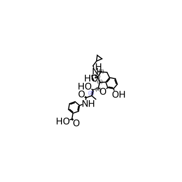 C/C(C(=O)Nc1cccc(C(=O)O)c1)=C(/O)[C@@H]1Oc2c(O)ccc3c2[C@@]12CCN(CC1CC1)[C@H](C3)[C@@]2(C)O